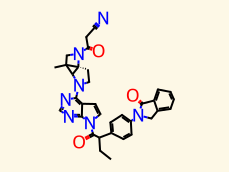 CCC(C(=O)n1ccc2c(N3CC[C@]45C3C4(C)CN5C(=O)CC#N)ncnc21)c1ccc(N2Cc3ccccc3C2=O)cc1